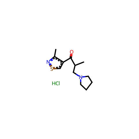 Cc1nscc1C(=O)C(C)CN1CCCC1.Cl